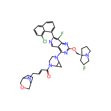 O=C(/C=C/CN1C2CCC1COC2)N1CCN(c2nc(OC[C@@]34CCCN3C[C@H](F)C4)nc3c(F)c(-c4cccc5cccc(Cl)c45)ncc23)C2CC21